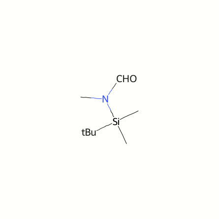 CN(C=O)[Si](C)(C)C(C)(C)C